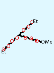 CCOCCOCCOCCOC[C](CCOCCOCCOCC)CCOCCOCCOCCOC